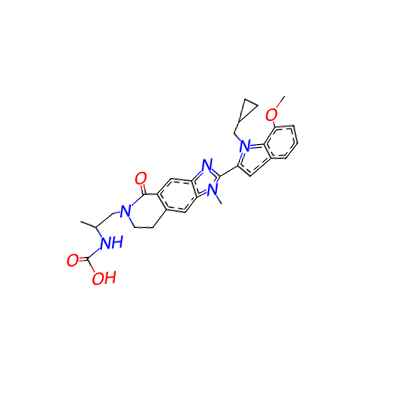 COc1cccc2cc(-c3nc4cc5c(cc4n3C)CCN(CC(C)NC(=O)O)C5=O)n(CC3CC3)c12